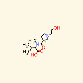 CC(C)C(C(=O)O)N(C)C(=O)[C@H]1CCN(CCO)C1